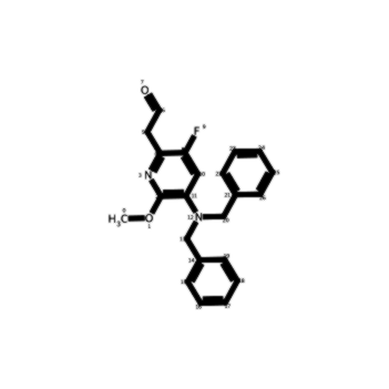 COc1nc(CC=O)c(F)cc1N(Cc1ccccc1)Cc1ccccc1